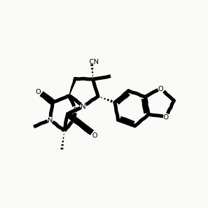 CN1C(=O)[C@]23C[C@](C)(C#N)[C@H](c4ccc5c(c4)OCO5)N2C(=O)[C@@]1(C)SS3